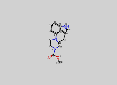 CC(C)(C)OC(=O)N1CCN2c3cccc4[nH]cc(c34)CC2C1